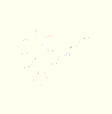 Cc1ccc(-n2c(=O)ccc3cnc4ccc(-n5cccn5)cc4c32)cc1NC(=O)/C=C/CBr